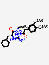 CCC(C)CNC(=O)[C@@H](CC1CCCCC1)NC(=N)NC(=O)Cc1ccc(OC)c(OC)c1